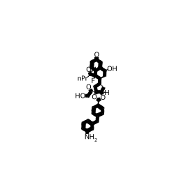 CCC[C@H](O)[C@@]1(F)[C@H]([C@@H]2C[C@H]3O[C@@H](c4ccc(Cc5cccc(N)c5)cc4)O[C@@]3(C(=O)CO)C2)C[C@@H](O)C2=CC(=O)C=C[C@@]21C